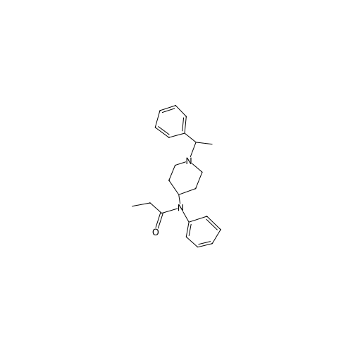 CCC(=O)N(c1ccccc1)C1CCN(C(C)c2ccccc2)CC1